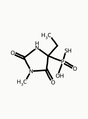 CCC1(P(=O)(O)S)NC(=O)N(C)C1=O